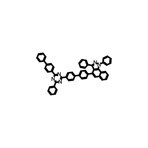 c1ccc(-c2ccc(-c3nc(-c4ccccc4)nc(-c4ccc(-c5ccc(-c6cc7ccccc7c7c6c(-c6ccccc6)nn7-c6ccccc6)cc5)cc4)n3)cc2)cc1